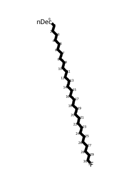 CCCCCCCCCCCCCCCCCCCCCCCCCCCCCCCCCCCCCCCCF